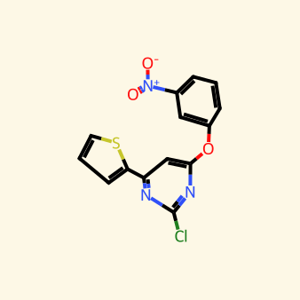 O=[N+]([O-])c1cccc(Oc2cc(-c3cccs3)nc(Cl)n2)c1